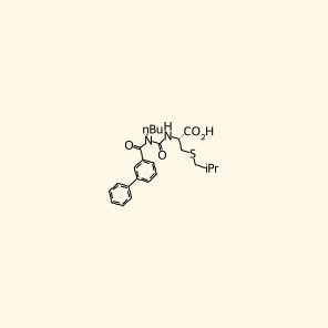 CCCCN(C(=O)N[C@@H](CSCC(C)C)C(=O)O)C(=O)c1cccc(-c2ccccc2)c1